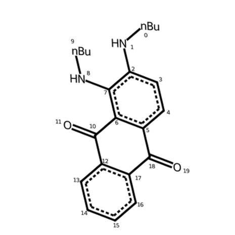 CCCCNc1ccc2c(c1NCCCC)C(=O)c1ccccc1C2=O